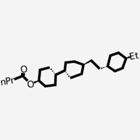 CCCC(=O)O[C@H]1CC[C@H]([C@H]2CC[C@H](CC[C@H]3CC[C@H](CC)CC3)CC2)CC1